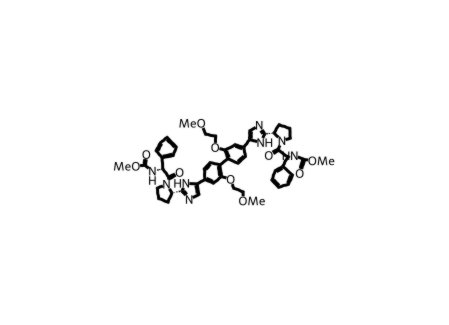 COCCOc1cc(-c2cnc([C@@H]3CCCN3C(=O)[C@H](NC(=O)OC)c3ccccc3)[nH]2)ccc1-c1ccc(-c2cnc([C@@H]3CCCN3C(=O)[C@H](NC(=O)OC)c3ccccc3)[nH]2)cc1OCCOC